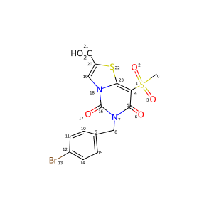 CS(=O)(=O)c1c(=O)n(Cc2ccc(Br)cc2)c(=O)n2cc(C(=O)O)sc12